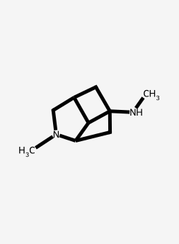 CNC12CC3CN(C)C(C1)C32